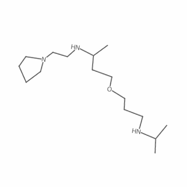 CC(C)NCCCOCCC(C)NCCN1CCCC1